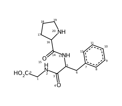 O=C(O)CNC(=O)C(Cc1ccccc1)NC(=O)C1CCCN1